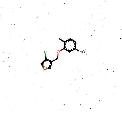 Cc1ccc([N+](=O)[O-])cc1OCc1cscc1Cl